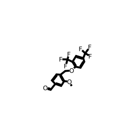 COc1cc(C=O)ccc1COc1ccc(C(F)(F)F)cc1C(F)(F)F